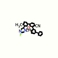 Cc1ccc2c(oc3c(-c4cccc(-c5ccccc5)c4)c(C#N)ccc32)c1-c1cnc(F)c[n+]1C